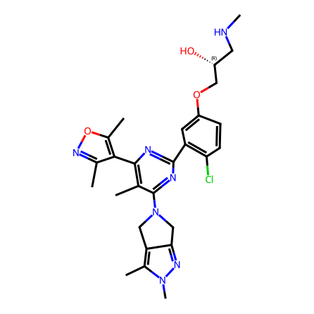 CNC[C@@H](O)COc1ccc(Cl)c(-c2nc(-c3c(C)noc3C)c(C)c(N3Cc4nn(C)c(C)c4C3)n2)c1